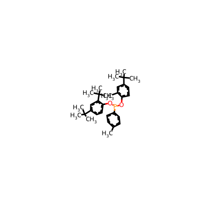 Cc1ccc(P(Oc2ccc(C(C)(C)C)cc2C)Oc2ccc(C(C)(C)C)cc2C(C)(C)C)cc1